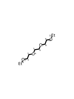 CCOCCOCCOCCOCC